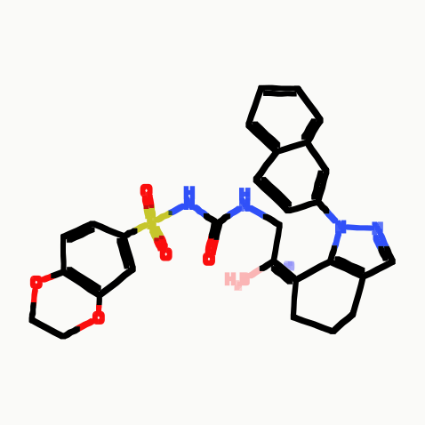 B/C(CNC(=O)NS(=O)(=O)c1ccc2c(c1)OCCO2)=C1\CCCc2cnn(-c3ccc4ccccc4c3)c21